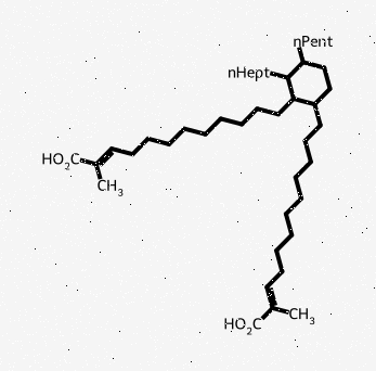 CCCCCCCC1C(CCCCC)CCC(CCCCCCCCCC=C(C)C(=O)O)C1CCCCCCCCCC=C(C)C(=O)O